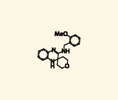 COc1ccccc1CNC1=Nc2ccccc2NC12CCOCC2